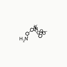 CCOC(=O)c1ccccc1OCc1nn(C(C)C)c2ccc(-c3cccc(CN)c3)cc12